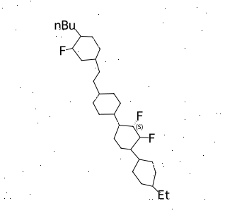 CCCCC1CCC(CCC2CCC(C3CCC(C4CCC(CC)CC4)C(F)[C@H]3F)CC2)CC1F